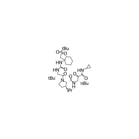 CCCC[C@H](NC(=O)[C@@H]1[C@@H](C(C)C)CCN1C(=O)[C@@H](NC(=O)NC1(CS(=O)(=O)C(C)(C)C)CCCCC1)C(C)(C)C)C(=O)C(=O)NC1CC1